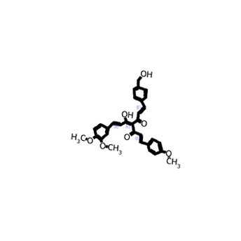 COc1ccc(/C=C/C(=O)/C(C(=O)/C=C/c2ccc(CO)cc2)=C(O)\C=C\c2ccc(OC)c(OC)c2)cc1